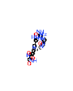 CN1CCN([C@@H]2CCCN(c3cnc(C(N)=O)c(Nc4ccc(C5CCN([C@@H]6Cc7ccc8c(C9CCC(=O)NC9=O)noc8c7C6)CC5)cc4)n3)C2)C1=O